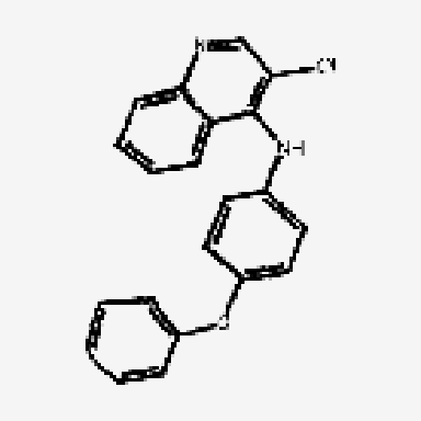 N#Cc1cnc2ccccc2c1Nc1ccc(Oc2ccccc2)cc1